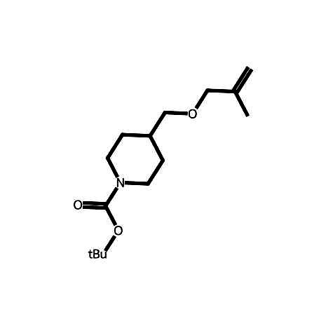 C=C(C)COCC1CCN(C(=O)OC(C)(C)C)CC1